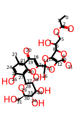 CCC(=O)OCC(O)C1OC(=O)C2=C1OC(C)(c1cc(=O)c3c(C)cc(O)c(C4O[C@H](CO)[C@@H](O)[C@H](O)[C@H]4O)c3o1)O2